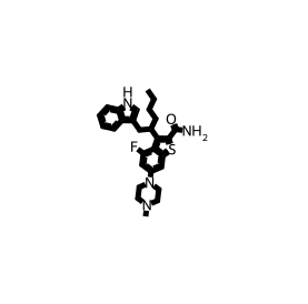 CCCCC(Cc1c[nH]c2ccccc12)c1c(C(N)=O)sc2cc(N3CCN(C)CC3)cc(F)c12